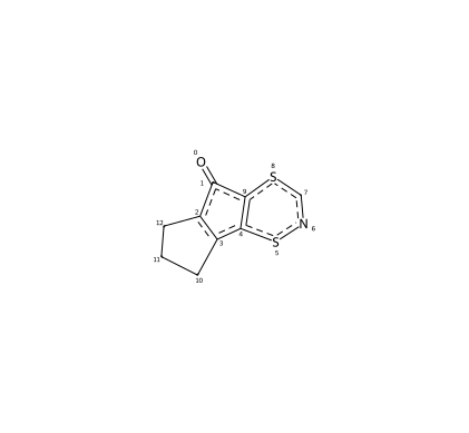 O=c1c2c(c3sncsc1=3)CCC2